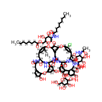 CCCCCCCCC(=O)NC1C(O)[C@H](O)C(COC(=O)CCCCCCC)O[C@H]1Oc1c2cc3cc1Oc1ccc(cc1Cl)[C@@]1(O[C@@H]4OC(CO)[C@@H](O)C(O)C4NC(C)=O)C[C@]14NC(=O)[C@H](NC(=O)[C@@H]3NC(=O)[C@H]1NC(=O)[C@@H](Cc3ccc(c(C)c3)O2)NC(=O)Cc2ccc(O)c(c2)Oc2cc(O)cc1c2)c1ccc(O)c(c1)-c1c(O[C@H]2OC(CO)[C@@H](O)C(O)C2O)cc(O)cc1[C@@H](C(=O)O)NC4=O